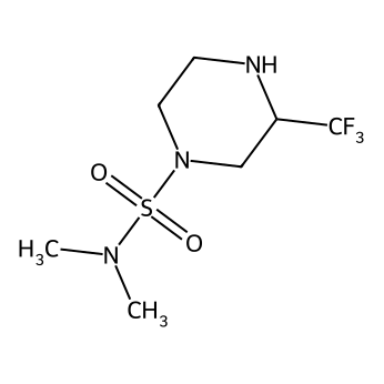 CN(C)S(=O)(=O)N1CCNC(C(F)(F)F)C1